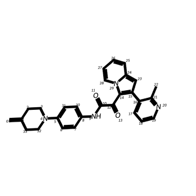 C=C1CCN(c2ccc(NC(=O)C(=O)c3c(-c4cccnc4C)cc4ccccn34)cc2)CC1